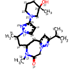 CC(C)c1cc2n(n1)CC(=O)N(C)C(CC(C)n1ccc(N3CCC[C@](C)(O)C3)n1)C2